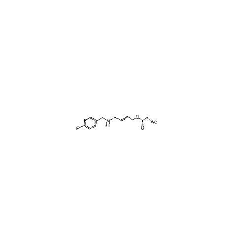 CC(=O)CC(=O)OCC=CCNCc1ccc(F)cc1